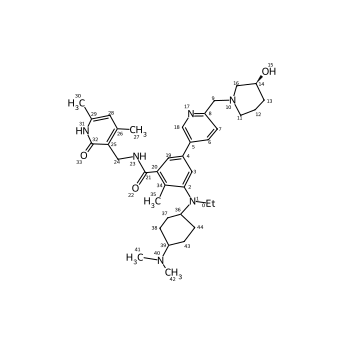 CCN(c1cc(-c2ccc(CN3CCC[C@H](O)C3)nc2)cc(C(=O)NCc2c(C)cc(C)[nH]c2=O)c1C)C1CCC(N(C)C)CC1